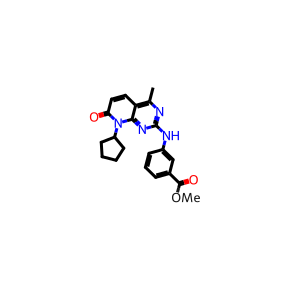 COC(=O)c1cccc(Nc2nc(C)c3ccc(=O)n(C4CCCC4)c3n2)c1